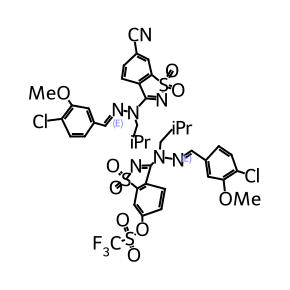 COc1cc(/C=N/N(CC(C)C)C2=NS(=O)(=O)c3cc(C#N)ccc32)ccc1Cl.COc1cc(/C=N/N(CC(C)C)C2=NS(=O)(=O)c3cc(OS(=O)(=O)C(F)(F)F)ccc32)ccc1Cl